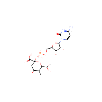 CC1C(O)CC(OP(=O)(O)OCC2OC(n3ccc(N)nc3=O)[C@H](O)[C@@H]2O)(C(=O)O)OC1C(O)O